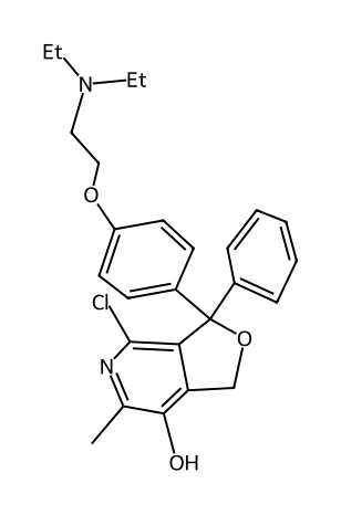 CCN(CC)CCOc1ccc(C2(c3ccccc3)OCc3c(O)c(C)nc(Cl)c32)cc1